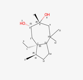 CC[C@]12C[C@H](O)[C@](C)(O)CC(C)(C)C1CC[C@H]2C